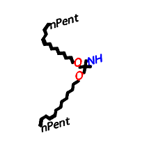 CCCCC/C=C\C/C=C\CCCCCCCCOCC1(COCCCCCCCC/C=C\C/C=C\CCCCC)CNC1